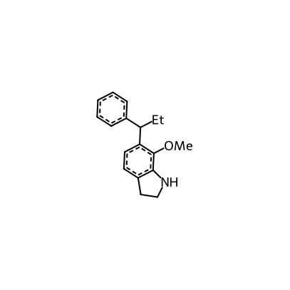 CCC(c1ccccc1)c1ccc2c(c1OC)NCC2